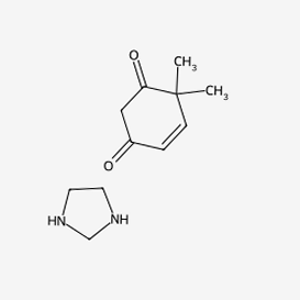 C1CNCN1.CC1(C)C=CC(=O)CC1=O